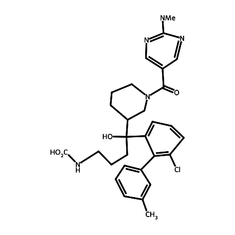 CNc1ncc(C(=O)N2CCCC(C(O)(CCCNC(=O)O)c3cccc(Cl)c3-c3cccc(C)c3)C2)cn1